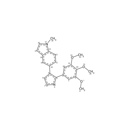 COc1cc(-c2nocc2-c2ccc3c(ccn3C)c2)cc(OC)c1OC